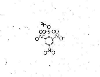 [2H]OS(=O)(=O)c1c([N+](=O)[O-])cc([N+](=O)[O-])cc1[N+](=O)[O-]